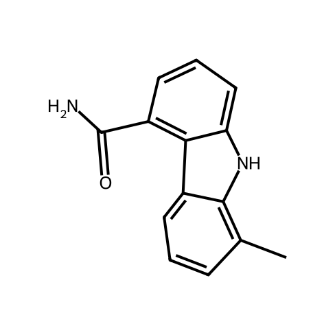 Cc1cccc2c1[nH]c1cccc(C(N)=O)c12